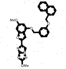 COc1cc(OCc2cccc(OCc3cccc4ccccc34)c2)c2cc(-c3cn4nc(OC)sc4n3)oc2c1